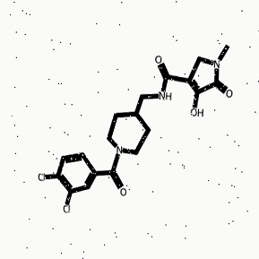 CN1CC(C(=O)NCC2CCN(C(=O)c3ccc(Cl)c(Cl)c3)CC2)=C(O)C1=O